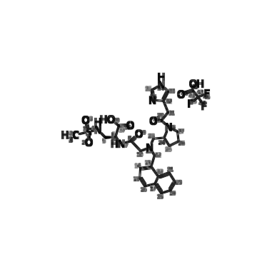 CS(=O)(=O)NC[C@H](NC(=O)CN(Cc1cccc2ccccc12)CC1CCCN1C(=O)Cc1c[nH]cn1)C(=O)O.O=C(O)C(F)(F)F